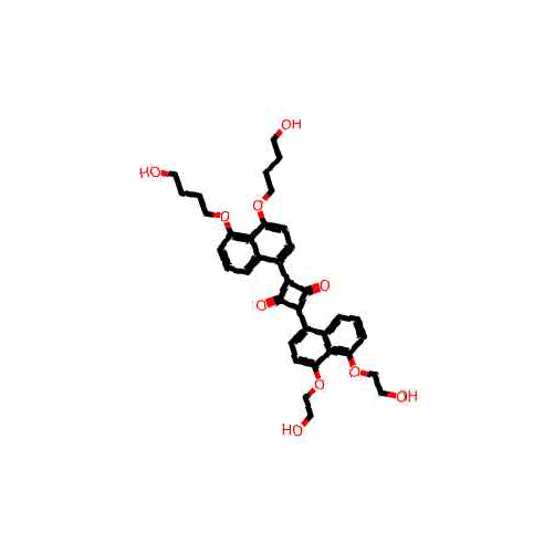 O=C1C(c2ccc(OCCO)c3c(OCCO)cccc23)C(=O)C1c1ccc(OCCCCO)c2c(OCCCCO)cccc12